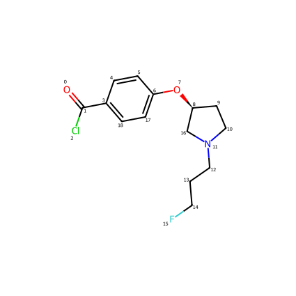 O=C(Cl)c1ccc(O[C@H]2CCN(CCCF)C2)cc1